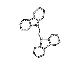 c1ccc2c(c1)c1ccccc1n2CCn1c2ccccc2c2ccccc21